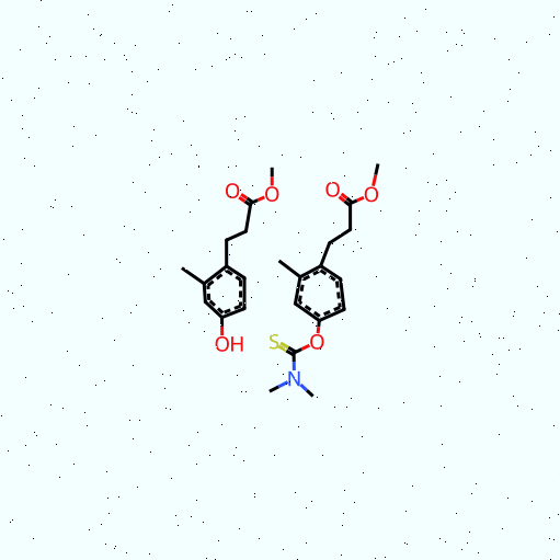 COC(=O)CCc1ccc(O)cc1C.COC(=O)CCc1ccc(OC(=S)N(C)C)cc1C